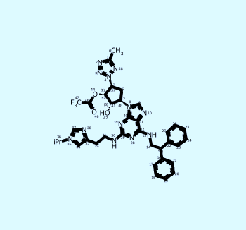 Cc1nnn([C@H]2C[C@@H](n3cnc4c(NCC(c5ccccc5)c5ccccc5)nc(NCCc5cn(C(C)C)cn5)nc43)[C@H](O)[C@@H]2OC(=O)C(F)(F)F)n1